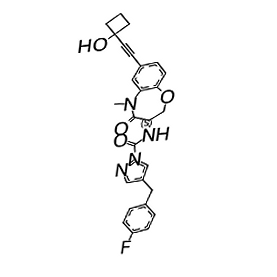 CN1C(=O)[C@@H](NC(=O)n2cc(Cc3ccc(F)cc3)cn2)COc2ccc(C#CC3(O)CCC3)cc21